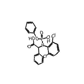 O=C(O)C(c1ccccc1)N(c1c(Cl)cccc1Cl)P(=O)(O)Oc1ccccc1